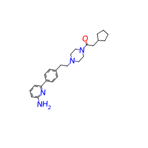 Nc1cccc(-c2ccc(CCN3CCN(C(=O)CC4CCCC4)CC3)cc2)n1